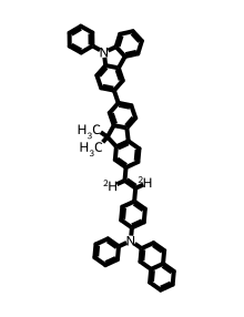 [2H]/C(=C(/[2H])c1ccc2c(c1)C(C)(C)c1cc(-c3ccc4c(c3)c3ccccc3n4-c3ccccc3)ccc1-2)c1ccc(N(c2ccccc2)c2ccc3ccccc3c2)cc1